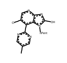 CCCCCn1c(O)nc2ncc(Cl)c(-c3ncc(C)cn3)c21